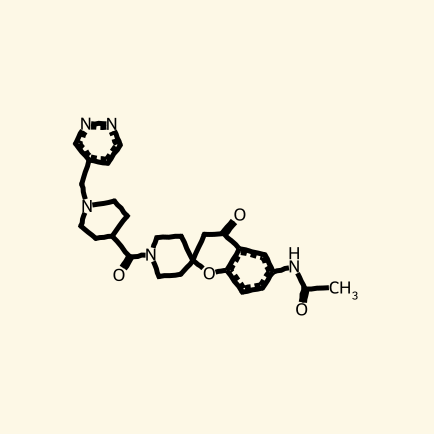 CC(=O)Nc1ccc2c(c1)C(=O)CC1(CCN(C(=O)C3CCN(Cc4ccnnc4)CC3)CC1)O2